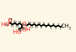 CCCCCCCCCCCCCCCCOC(CCCCC(=O)O)C(O)CO